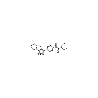 CCC(CC)C(=O)Nc1ccc(-c2n[nH]c3c2Cc2ccccc2-3)cc1